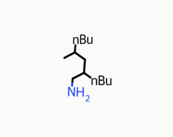 CCCCC(C)CC(CN)CCCC